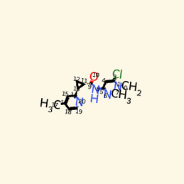 C=N/C(Cl)=C\C(=N/C)NC(=O)[C@H]1C[C@@H]1c1cc(C)ccn1